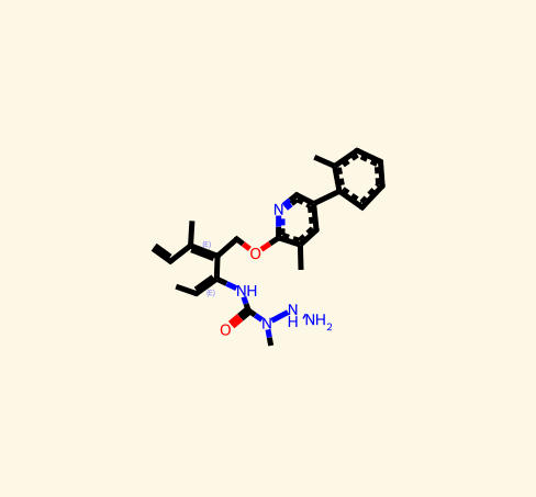 C=C/C(C)=C(COc1ncc(-c2ccccc2C)cc1C)\C(=C/C)NC(=O)N(C)NN